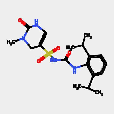 CC(C)c1cccc(C(C)C)c1NC(=O)NS(=O)(=O)C1=CNC(=O)N(C)C1